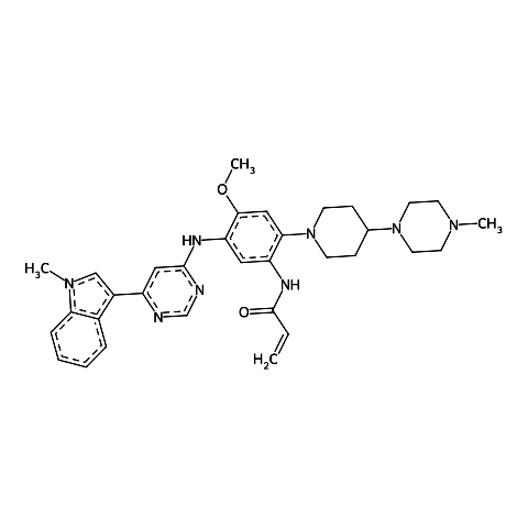 C=CC(=O)Nc1cc(Nc2cc(-c3cn(C)c4ccccc34)ncn2)c(OC)cc1N1CCC(N2CCN(C)CC2)CC1